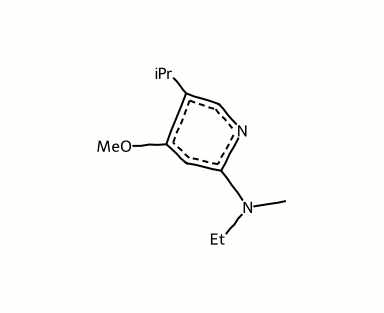 CCN(C)c1cc(OC)c(C(C)C)cn1